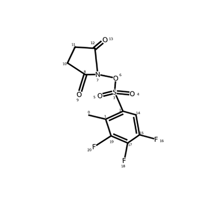 Cc1c(S(=O)(=O)ON2C(=O)CCC2=O)cc(F)c(F)c1F